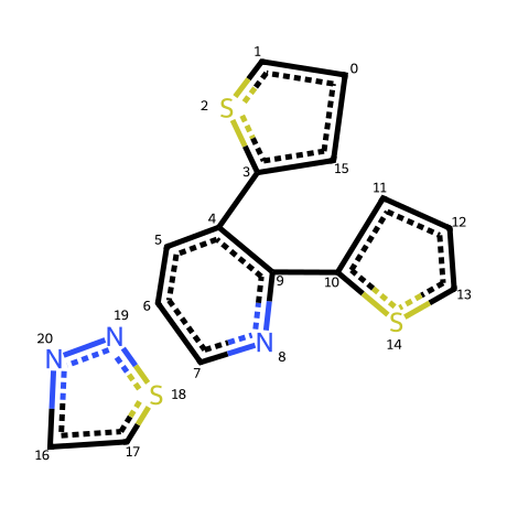 c1csc(-c2cccnc2-c2cccs2)c1.c1csnn1